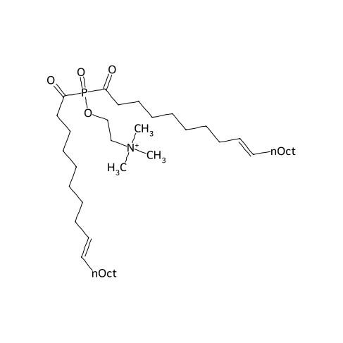 CCCCCCCCC=CCCCCCCCC(=O)P(=O)(OCC[N+](C)(C)C)C(=O)CCCCCCCC=CCCCCCCCC